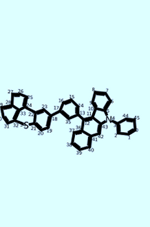 c1ccc(-n2c3ccccc3c3c(-c4cccc(-c5ccc6c(c5)-c5cccc7cccc(c57)S6)c4)c4ccccc4cc32)cc1